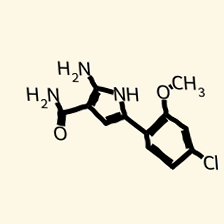 COc1cc(Cl)ccc1-c1cc(C(N)=O)c(N)[nH]1